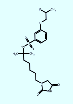 CC(F)COc1cccc(S(=O)(=O)NC(C)(C)CCCCCN2CC(=O)NC2=O)c1